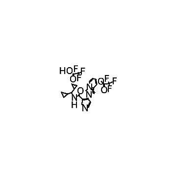 O=C(NC(C1CC1)C1CC1)c1cnccc1-[n+]1cc2ccccn2c1.O=C(O)C(F)(F)F.O=C([O-])C(F)(F)F